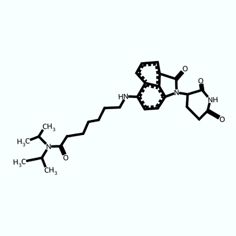 CC(C)N(C(=O)CCCCCCNc1ccc2c3c(cccc13)C(=O)N2C1CCC(=O)NC1=O)C(C)C